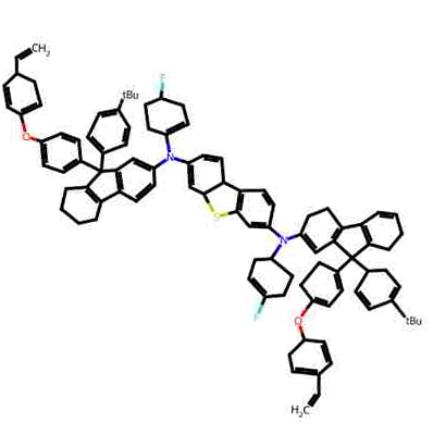 C=CC1=CCC(OC2=CC=C(C3(C4C=CC(C(C)(C)C)=CC4)C4=C(CCC(N(c5ccc6c(c5)SC5C=C(N(C7=CCC(F)CC7)c7ccc8c(c7)C(c7ccc(OC9=CCC(C=C)C=C9)cc7)(c7ccc(C(C)(C)C)cc7)C7=C8CCCC7)C=CC65)C5CC=C(F)CC5)=C4)C4=C3CCC=C4)CC2)C=C1